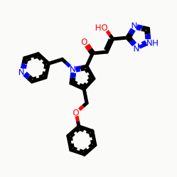 O=C(C=C(O)c1nc[nH]n1)c1cc(COc2ccccc2)cn1Cc1ccncc1